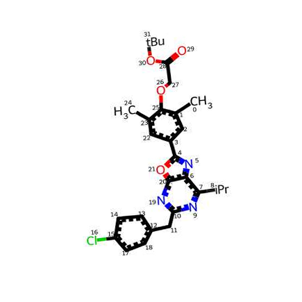 Cc1cc(-c2nc3c(C(C)C)nc(Cc4ccc(Cl)cc4)nc3o2)cc(C)c1OCC(=O)OC(C)(C)C